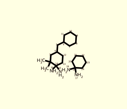 CC1(C)CC(CC2CCCCC2)CCC1(N)N.NC1(N)CCCCC1